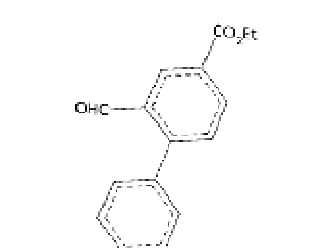 CCOC(=O)c1ccc(-c2ccccc2)c(C=O)c1